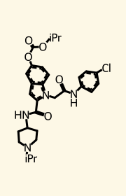 CC(C)OC(=O)Oc1ccc2c(c1)cc(C(=O)NC1CCN(C(C)C)CC1)n2CC(=O)Nc1ccc(Cl)cc1